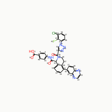 O=C(O)c1ccc(NC(=O)C2c3cccc(-c4ccc5nccnc5c4)c3CCN2C(=O)c2cn(-c3cccc(Cl)c3F)nn2)cc1